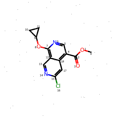 COC(=O)c1cnc(OC2CC2)c2cnc(Cl)cc12